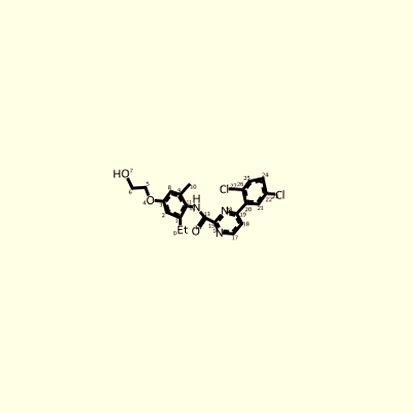 CCc1cc(OCCO)cc(C)c1NC(=O)c1nccc(-c2cc(Cl)ccc2Cl)n1